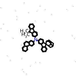 CC1(C)c2ccccc2-c2ccc(N(c3ccc4c(c3)-c3ccccc3C43C4CC5CC(C4)CC3C5)c3ccc4c(ccc5ccccc54)c3)cc21